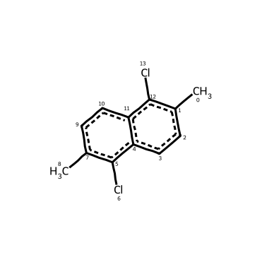 Cc1ccc2c(Cl)c(C)ccc2c1Cl